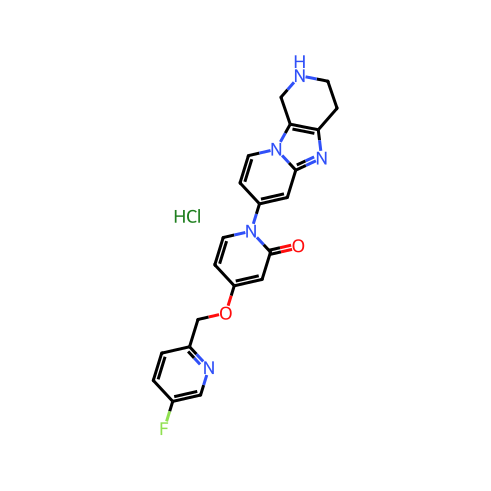 Cl.O=c1cc(OCc2ccc(F)cn2)ccn1-c1ccn2c3c(nc2c1)CCNC3